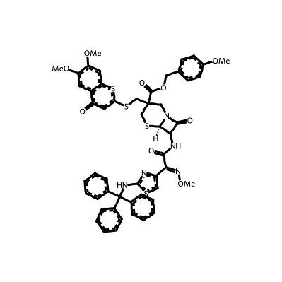 CON=C(C(=O)NC1C(=O)N2CC(CSc3cc(=O)c4cc(OC)c(OC)cc4s3)(C(=O)OCc3ccc(OC)cc3)CS[C@H]12)c1csc(NC(c2ccccc2)(c2ccccc2)c2ccccc2)n1